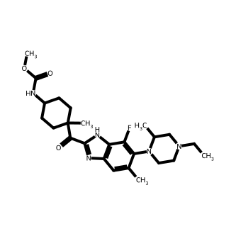 CCN1CCN(c2c(C)cc3nc(C(=O)C4(C)CCC(NC(=O)OC)CC4)[nH]c3c2F)C(C)C1